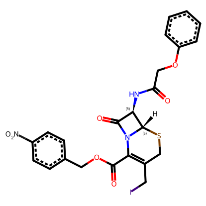 O=C(COc1ccccc1)N[C@@H]1C(=O)N2C(C(=O)OCc3ccc([N+](=O)[O-])cc3)=C(CI)CS[C@@H]12